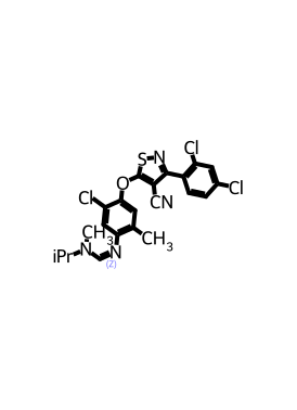 Cc1cc(Oc2snc(-c3ccc(Cl)cc3Cl)c2C#N)c(Cl)cc1/N=C\N(C)C(C)C